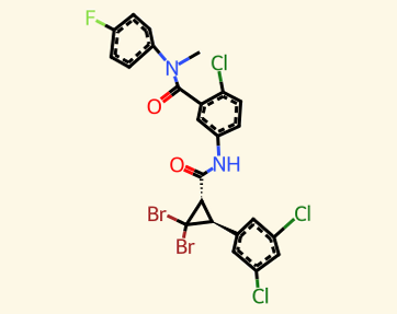 CN(C(=O)c1cc(NC(=O)[C@@H]2[C@@H](c3cc(Cl)cc(Cl)c3)C2(Br)Br)ccc1Cl)c1ccc(F)cc1